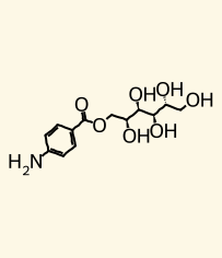 Nc1ccc(C(=O)OC[C@H](O)[C@@H](O)[C@H](O)[C@H](O)CO)cc1